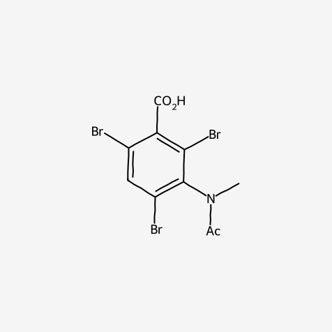 CC(=O)N(C)c1c(Br)cc(Br)c(C(=O)O)c1Br